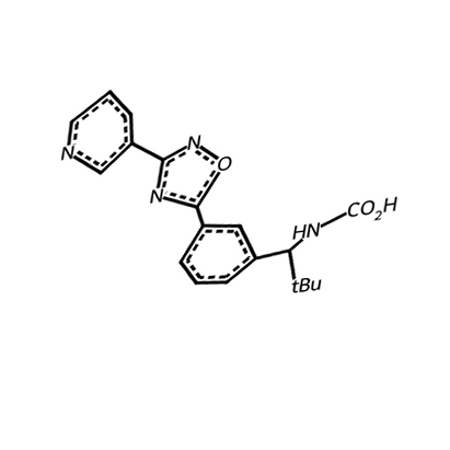 CC(C)(C)C(NC(=O)O)c1cccc(-c2nc(-c3cccnc3)no2)c1